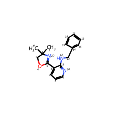 CC1(C)COC(c2cccnc2NCc2ccccc2)=N1